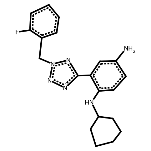 Nc1ccc(NC2CCCCC2)c(-c2nnn(Cc3ccccc3F)n2)c1